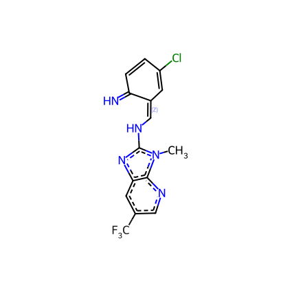 Cn1c(N/C=C2/C=C(Cl)C=CC2=N)nc2cc(C(F)(F)F)cnc21